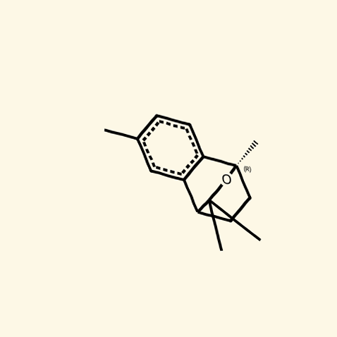 Cc1ccc2c(c1)C1CC[C@@]2(C)OC1(C)C